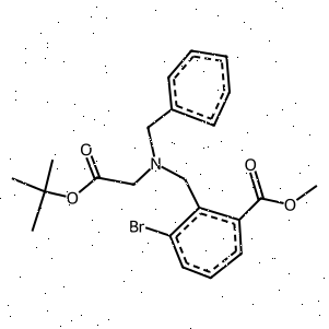 COC(=O)c1cccc(Br)c1CN(CC(=O)OC(C)(C)C)Cc1ccccc1